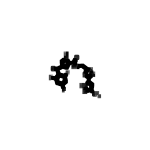 O=C(NCc1nnc(-c2cc(C(F)(F)F)n[nH]2)s1)c1cc(C(=O)c2c(F)cc(F)cc2F)c[nH]1